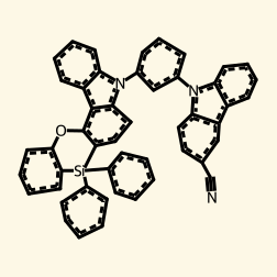 N#Cc1ccc2c(c1)c1ccccc1n2-c1cccc(-n2c3ccccc3c3c4c(ccc32)[Si](c2ccccc2)(c2ccccc2)c2ccccc2O4)c1